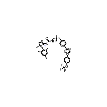 Cc1cc(C)c(-n2c(C)cs/c2=N\C(=O)NCC(C)(C)Cc2ccc(-c3ncn(-c4ccc(OC(F)(F)F)cc4)n3)cc2)c(C)c1